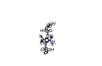 [C-]#[N+]/C(C#N)=c1/cc(OCCOC(=O)c2cc(S(=O)(=O)O)ccc2O)/c(=C(\C#N)[N+]#[C-])cc1OCCOC(=O)c1ccccc1O